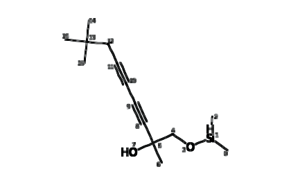 C[SiH](C)OCC(C)(O)C#CC#CCC(C)(C)C